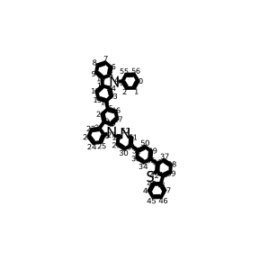 c1ccc(-n2c3ccccc3c3ccc(-c4ccc5c(c4)c4ccccc4n5-c4ccc(-c5ccc(-c6cccc7c6sc6ccccc67)cc5)cn4)cc32)cc1